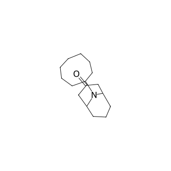 O=C1CC2CCCC(C1)N2C1CCCCCCC1